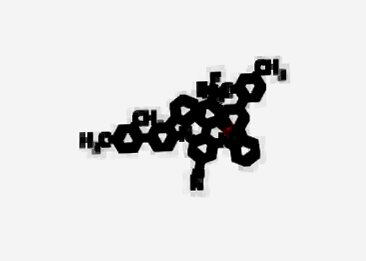 Cc1ccc(-c2ccc3c(c2)c2ccccc2n3-c2cc(C#N)cc(-n3c4ccccc4c4cc(-c5ccc(C)cc5C)ccc43)c2-c2ccc(C(F)(F)F)cc2C#N)c(C)c1